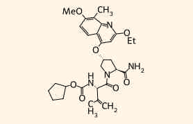 C=C(C)[C@H](NC(=O)OC1CCCC1)C(=O)N1C[C@H](Oc2cc(OCC)nc3c(C)c(OC)ccc23)C[C@H]1C(N)=O